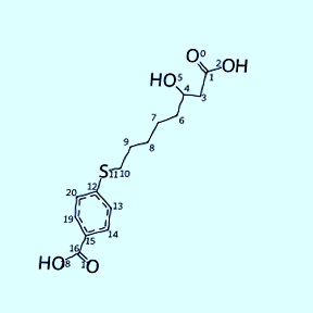 O=C(O)CC(O)CCCCCSc1ccc(C(=O)O)cc1